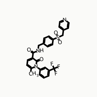 Cc1ccc(C(=O)NCc2ccc(S(=O)(=O)Cc3ccncc3)cc2)c(=O)n1-c1cccc(C(F)(F)F)c1